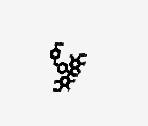 COc1c(F)cc(C(O)(c2cc(F)c(OC)c(F)c2F)C2CCN(Cc3ccc(NC(C)=O)cc3)CC2)c(F)c1F